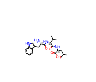 CC(C)C[C@H](NC(=O)[C@@H](NC(=O)[C@@H](N)Cc1c[nH]c2ccccc12)C(C)C)C(=O)O